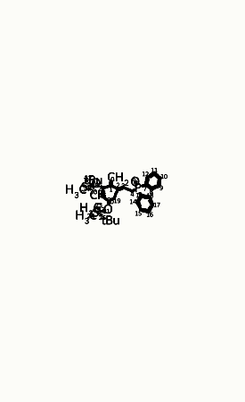 C=C1/C(=C/CP(=O)(c2ccccc2)c2ccccc2)CC(O[Si](C)(C)C(C)(C)C)CC1O[Si](C)(C)C(C)(C)C